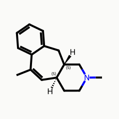 CC1=C[C@@H]2CCN(C)C[C@H]2Cc2ccccc21